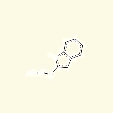 CCCCCOc1cc2ccccc2o1